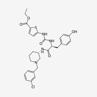 CCOC(=O)c1ccc(NC(=O)N[C@@H](Cc2ccc(O)cc2)C(=O)N[C@H]2CCCN(Cc3cccc(Cl)c3)C2)s1